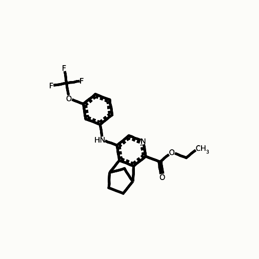 CCOC(=O)c1ncc(Nc2cccc(OC(F)(F)F)c2)c2c1C1CCC2C1